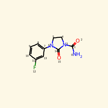 NC(=O)N1CCN(c2cccc(F)c2)C1=O